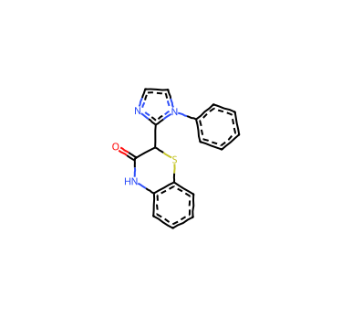 O=C1Nc2ccccc2SC1c1nccn1-c1ccccc1